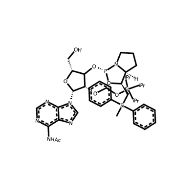 CC(=O)Nc1ncnc2c1ncn2[C@@H]1O[C@H](CO)C(O[P@@]2O[C@H](C[Si](C)(c3ccccc3)c3ccccc3)[C@@H]3CCCN32)[C@@H]1OCO[Si](C(C)C)(C(C)C)C(C)C